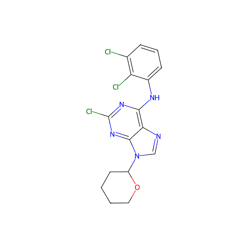 Clc1nc(Nc2cccc(Cl)c2Cl)c2ncn(C3CCCCO3)c2n1